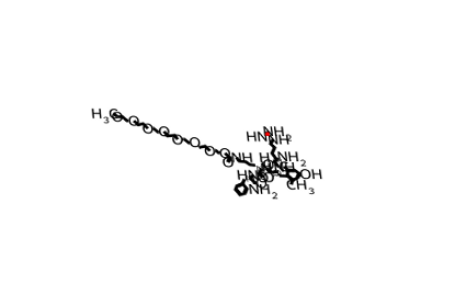 COCCOCCOCCOCCOCCOCCOCCOC(=O)NCCCC[C@H](NC(=O)[C@H](Cc1c(C)cc(O)cc1C)NC(=O)[C@H](N)CCCNC(=N)N)C(=O)N[C@@H](Cc1ccccc1)C(N)=O